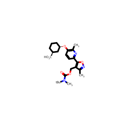 Cc1nc(-c2onc(C)c2COC(=O)N(C)C(C)(C)C)ccc1O[C@H]1CCC[C@H](C(=O)O)C1